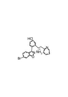 Cl.N[C@@H](Cc1ccccn1)c1ccccc1-c1noc2cc(Br)ccc12